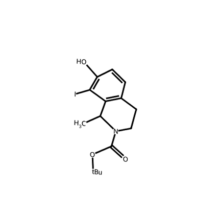 CC1c2c(ccc(O)c2I)CCN1C(=O)OC(C)(C)C